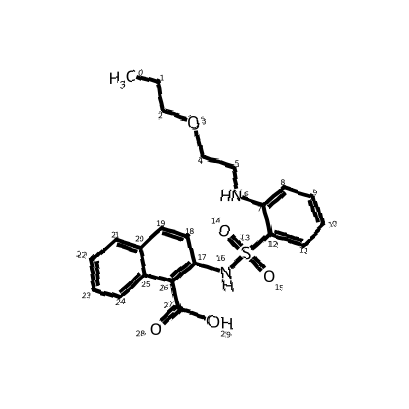 CCCOCCNc1ccccc1S(=O)(=O)Nc1ccc2ccccc2c1C(=O)O